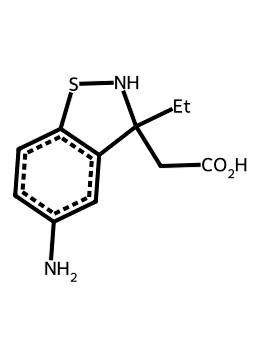 CCC1(CC(=O)O)NSc2ccc(N)cc21